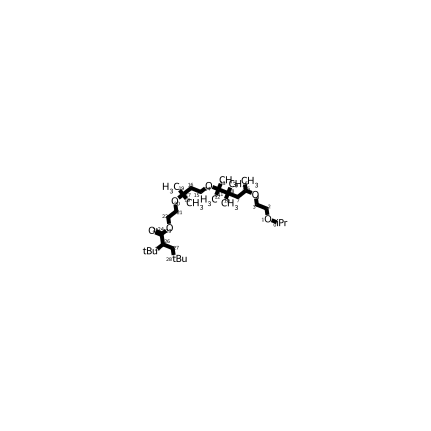 CC(C)OCCOC(C)CC(C)(C)C(C)(C)OCCC(C)(C)OCCOC(=O)C(CC(C)(C)C)C(C)(C)C